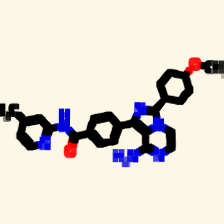 CO[C@H]1CC[C@@H](c2nc(-c3ccc(C(=O)Nc4cc(C)ccn4)cc3)c3c(N)nccn32)CC1